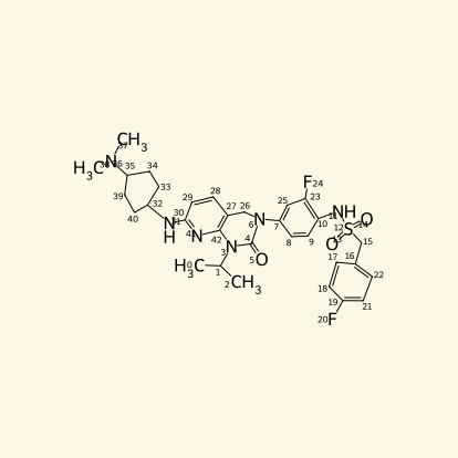 CC(C)N1C(=O)N(c2ccc(NS(=O)(=O)Cc3ccc(F)cc3)c(F)c2)Cc2ccc(NC3CCC(N(C)C)CC3)nc21